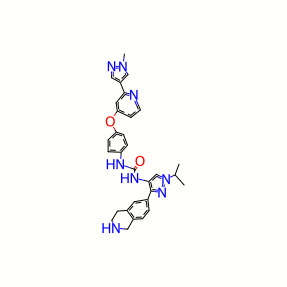 CC(C)n1cc(NC(=O)Nc2ccc(Oc3ccnc(-c4cnn(C)c4)c3)cc2)c(-c2ccc3c(c2)CCNC3)n1